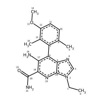 CCn1cnc2c(-c3c(C)ccc(OC)c3C)c(N)c(C(N)=O)nc21